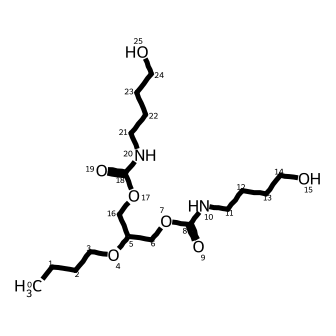 CCCCOC(COC(=O)NCCCCO)COC(=O)NCCCCO